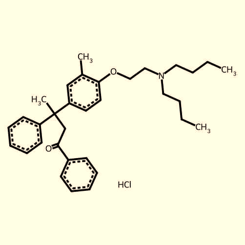 CCCCN(CCCC)CCOc1ccc(C(C)(CC(=O)c2ccccc2)c2ccccc2)cc1C.Cl